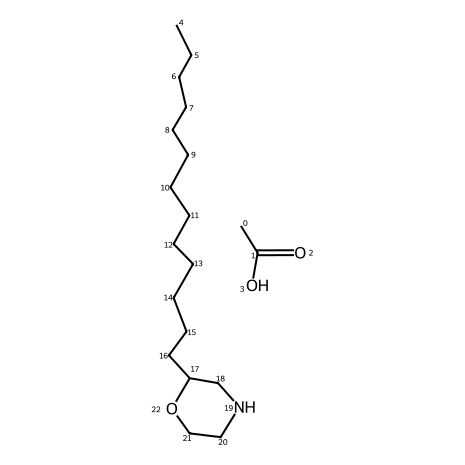 CC(=O)O.CCCCCCCCCCCCCC1CNCCO1